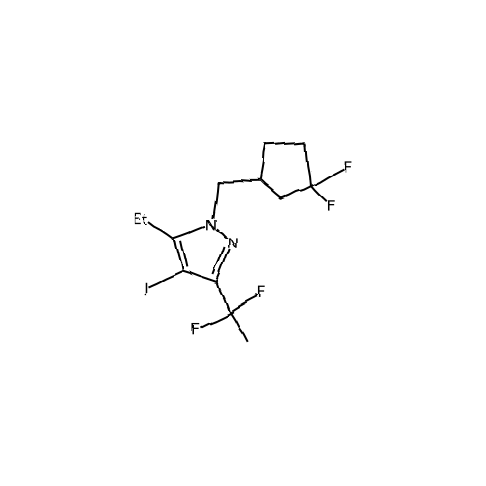 CCc1c(I)c(C(C)(F)F)nn1CC1CCC(F)(F)C1